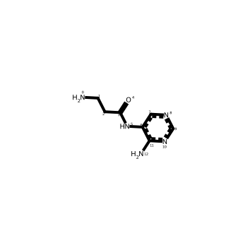 NCCC(=O)Nc1cncnc1N